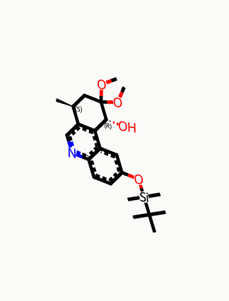 COC1(OC)C[C@H](C)c2cnc3ccc(O[Si](C)(C)C(C)(C)C)cc3c2[C@H]1O